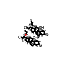 CCC(=O)O[C@]1(C(=O)CCl)[C@@H](C)C[C@H]2[C@@H]3CCC4=CC(=O)C=C[C@]4(C)[C@@]3(F)[C@@H](O)C[C@@]21C.CCC(=O)O[C@]1(C(=O)CCl)[C@@H](C)C[C@H]2[C@@H]3C[C@H](F)C4=CC(=O)C=C[C@]4(C)[C@@]3(F)[C@@H](O)C[C@@]21C